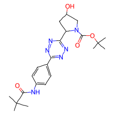 CC(C)(C)OC(=O)N1CC(O)CC1c1nnc(-c2ccc(NC(=O)C(C)(C)C)cc2)nn1